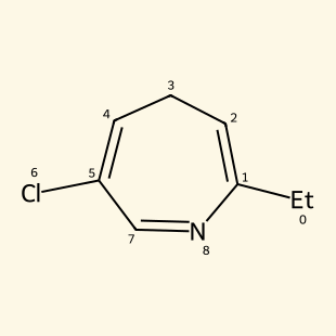 CCC1=CCC=C(Cl)C=N1